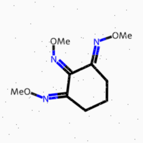 CON=C1CCCC(=NOC)C1=NOC